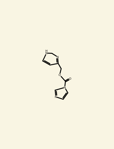 O=C(OCC1=NCNC=C1)n1ccnc1